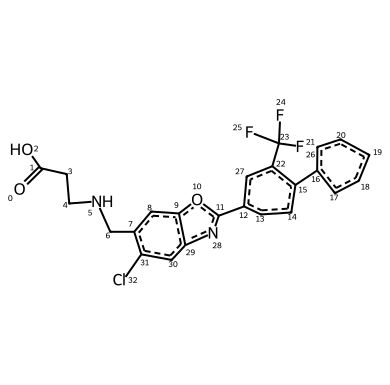 O=C(O)CCNCc1cc2oc(-c3ccc(-c4ccccc4)c(C(F)(F)F)c3)nc2cc1Cl